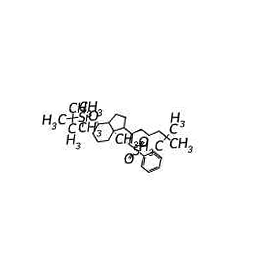 CC(C)(C)CCC[C@@H](CS(=O)(=O)c1ccccc1)C1CCC2[C@@H](O[Si](C)(C)C(C)(C)C)CCC[C@]12C